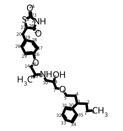 CCCC(CCOCC(O)CNC(C)COc1ccc(CC2SC(=O)NC2=O)cc1)c1ccccc1